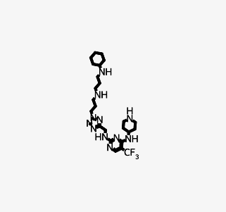 FC(F)(F)c1cnc(NCc2nnn(CCCNCCCNC3CCCCC3)n2)nc1NC1CCNCC1